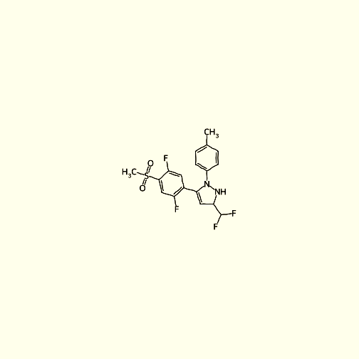 Cc1ccc(N2NC(C(F)F)C=C2c2cc(F)c(S(C)(=O)=O)cc2F)cc1